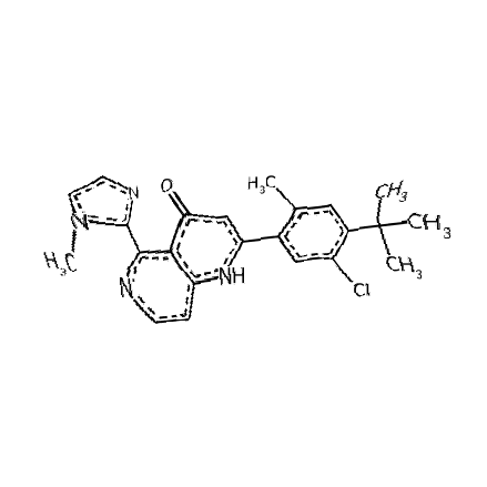 Cc1cc(C(C)(C)C)c(Cl)cc1-c1cc(=O)c2c(-c3nccn3C)nccc2[nH]1